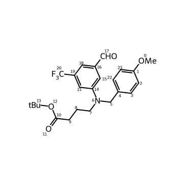 COc1ccc(CN(CCCC(=O)OC(C)(C)C)c2cc(C=O)cc(C(F)(F)F)c2)cc1